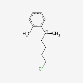 Cc1ccccc1[C@@H](C)CCCCCl